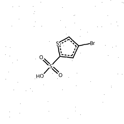 O=S(=O)(O)c1cc(Br)cs1